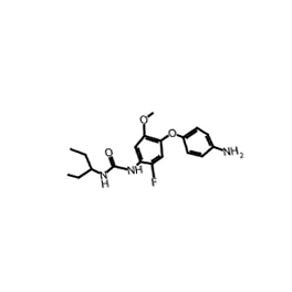 CCC(CC)NC(=O)Nc1cc(OC)c(Oc2ccc(N)cc2)cc1F